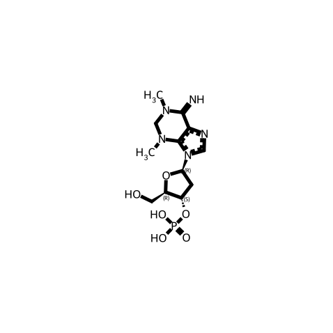 CN1CN(C)c2c(ncn2[C@H]2C[C@H](OP(=O)(O)O)[C@@H](CO)O2)C1=N